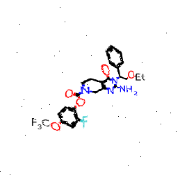 CCOCC(c1ccccc1)n1c(N)nc2c(c1=O)CCN(C(=O)Oc1ccc(OC(F)(F)F)cc1F)C2